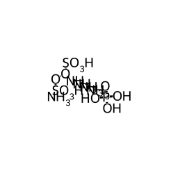 N.N.N.N.N.O=P(O)(O)O.O=S(=O)(O)OOS(=O)(=O)O